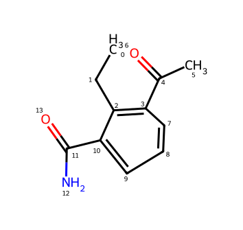 CCc1c(C(C)=O)cccc1C(N)=O